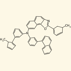 CC1C=CC=C(c2nc3ccc4ccc(N(c5cccc(C6=CC=CC6C)c5)c5cccc(-c6cccc7ccccc67)c5)cc4c3o2)C1